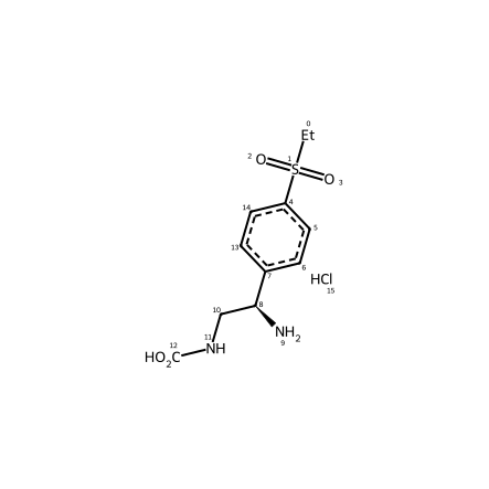 CCS(=O)(=O)c1ccc([C@@H](N)CNC(=O)O)cc1.Cl